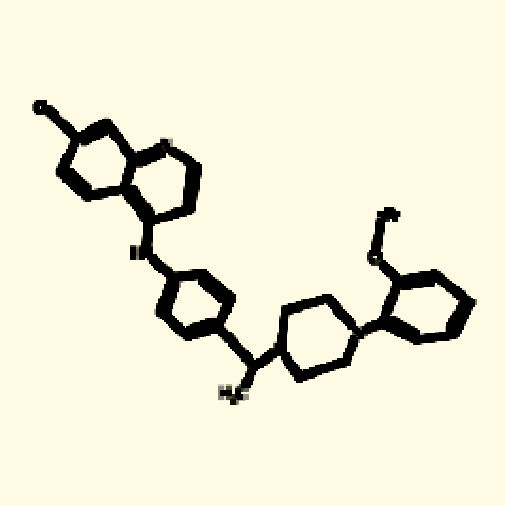 CCCOc1ccccc1N1CCN(C(C)c2ccc(Nc3ccnc4cc(Cl)ccc34)cc2)CC1